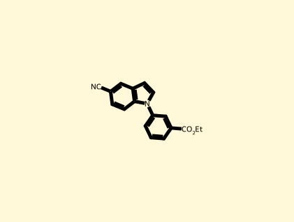 CCOC(=O)c1cccc(-n2ccc3cc(C#N)ccc32)c1